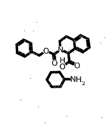 NC1CCCCC1.O=C(O)C1c2ccccc2CCN1C(=O)OCc1ccccc1